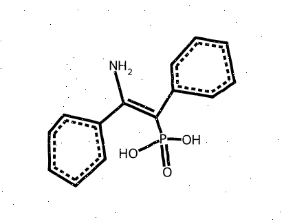 NC(=C(c1ccccc1)P(=O)(O)O)c1ccccc1